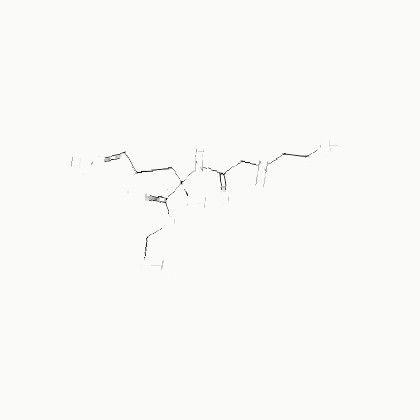 C=CCC[C@](C)(NC(=O)CNCCC)C(=O)OCC